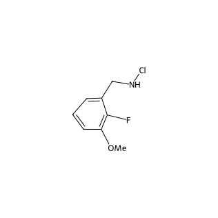 COc1cccc(CNCl)c1F